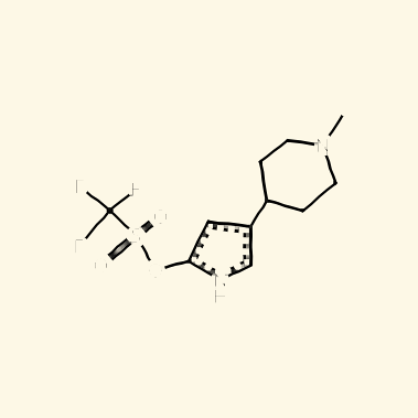 CN1CCC(c2c[nH]c(OS(=O)(=O)C(F)(F)F)c2)CC1